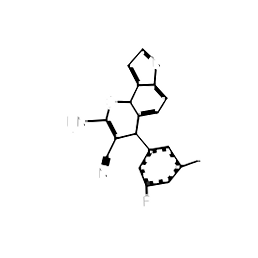 N#CC1=C(N)OC2C3=CC=NC3=CC=C2C1c1cc(F)cc(F)c1